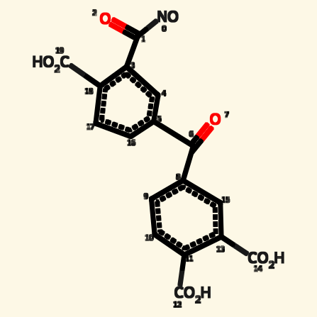 O=NC(=O)c1cc(C(=O)c2ccc(C(=O)O)c(C(=O)O)c2)ccc1C(=O)O